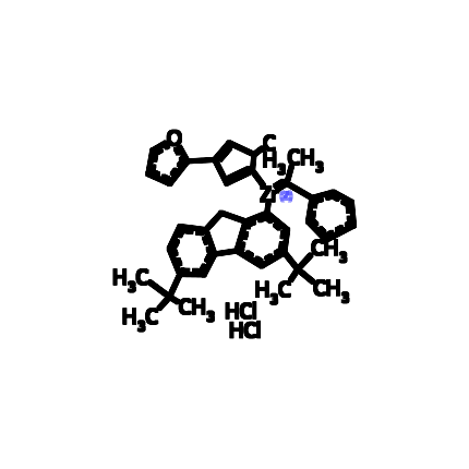 C/[C](c1ccccc1)=[Zr](\[C]1=CC(c2ccco2)=CC1C)[c]1cc(C(C)(C)C)cc2c1Cc1ccc(C(C)(C)C)cc1-2.Cl.Cl